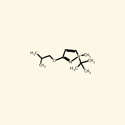 CC(C)COC1=N[N+](C)(C(C)(C)C)C=C1